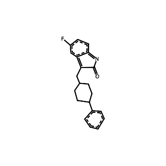 O=C1N=c2ccc(F)cc2=C1CC1CCC(c2ccccc2)CC1